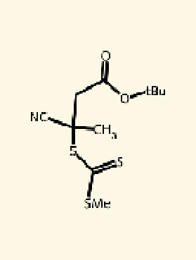 CSC(=S)SC(C)(C#N)CC(=O)OC(C)(C)C